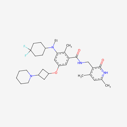 CCN(c1cc(OC2CC(N3CCCCC3)C2)cc(C(=O)NCc2c(C)cc(C)[nH]c2=O)c1C)C1CCC(F)(F)CC1